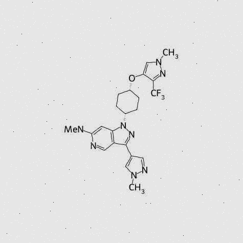 CNc1cc2c(cn1)c(-c1cnn(C)c1)nn2[C@H]1CC[C@@H](Oc2cn(C)nc2C(F)(F)F)CC1